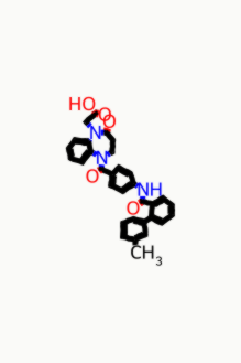 Cc1cccc(-c2ccccc2C(=O)Nc2ccc(C(=O)N3CCC(=O)N(CC(=O)O)c4ccccc43)cc2)c1